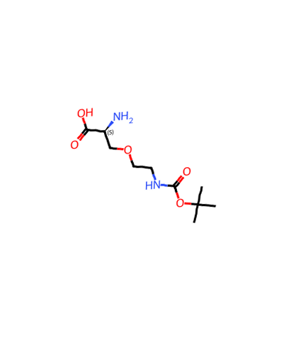 CC(C)(C)OC(=O)NCCOC[C@H](N)C(=O)O